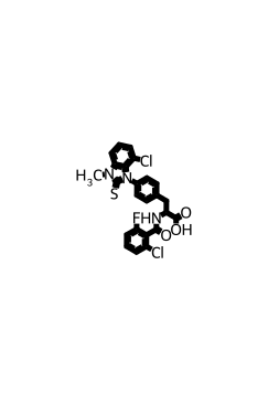 Cn1c(=S)n(-c2ccc(CC(NC(=O)c3c(F)cccc3Cl)C(=O)O)cc2)c2c(Cl)cccc21